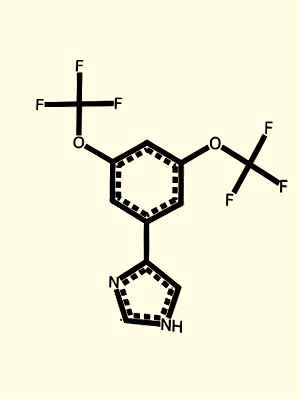 FC(F)(F)Oc1cc(OC(F)(F)F)cc(-c2c[nH][c]n2)c1